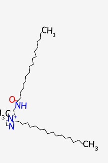 CCCCCCCCCCCCCCCCCC(=O)NCC[N+]1(C)CCN=C1CCCCCCCCCCCCCCCCC